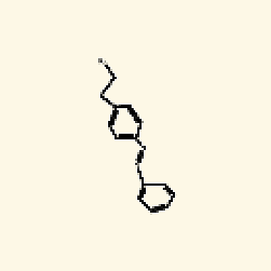 OCCc1ccc(/N=N/c2ccccc2)cc1